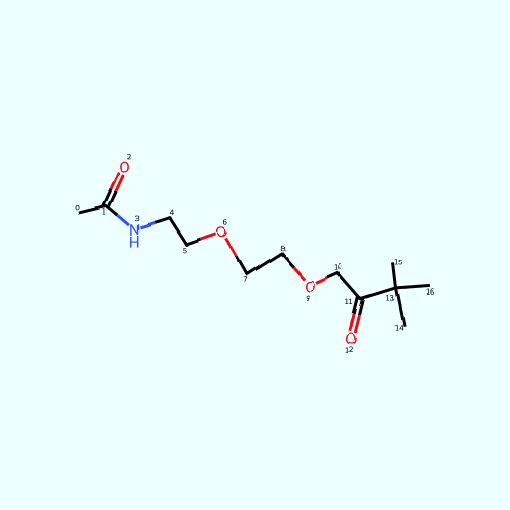 CC(=O)NCCOCCOCC(=O)C(C)(C)C